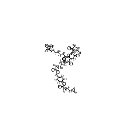 CN(C)CCN(C)C(=O)Oc1ccc(COC(=O)N(C)CCCNC(=O)C(CC(=O)ON2C(=O)CCC2=O)N(C)C(=O)CCCCCSS(C)(=O)=O)cc1